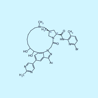 CC(=O)c1nn2c3c(cc(-c4cnc(C)nc4)cc13)C(O)C(O)CCCCCN(C)C[C@]1(C)C[C@@H](C(=O)Nc3nc(Br)ccc3C)N(C1)C(=O)C2